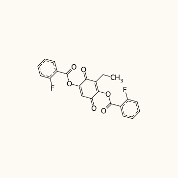 CCC1=C(OC(=O)c2ccccc2F)C(=O)C=C(OC(=O)c2ccccc2F)C1=O